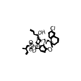 C=CC[C@H](O)[C@@H]1CC[C@H]1CN1C[C@@]2(CCCc3cc(Cl)ccc32)COc2ccc(C(=O)NS(=O)(=O)CC(C)C=C)cc21